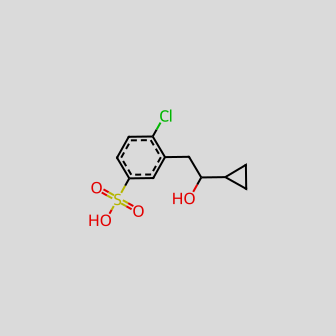 O=S(=O)(O)c1ccc(Cl)c(CC(O)C2CC2)c1